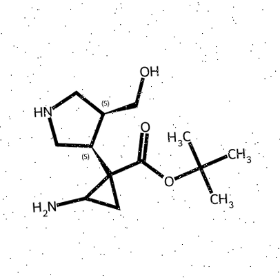 CC(C)(C)OC(=O)C1([C@H]2CNC[C@H]2CO)CC1N